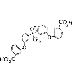 O=C(O)c1cccc(Oc2cccc(C(c3cccc(Oc4cccc(C(=O)O)c4)c3)(C(F)(F)F)C(F)(F)F)c2)c1